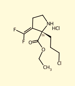 CCOC(=O)[C@@]1(CCCCl)NCCC1=C(F)F.Cl